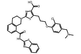 CN(C)Cc1ccc(OCCCc2sc(N3CCc4cccc(C(=O)Nc5nc6ccccc6s5)c4C3)nc2C(=O)O)c(Cl)c1